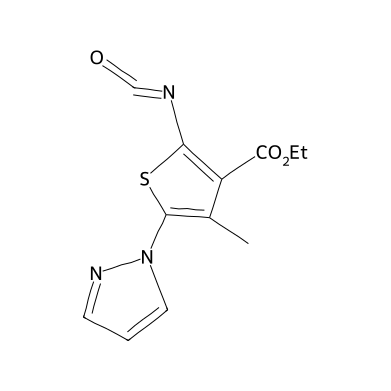 CCOC(=O)c1c(N=C=O)sc(-n2cccn2)c1C